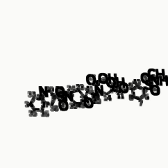 CNS(=O)(=O)c1cccc(OC[C@@H](O)CN(C(=O)O)[C@H]2COC3(CCN(S(=O)(=O)c4cnc5ccccc5c4)CC3)C2)c1